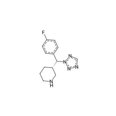 Fc1ccc(C([C@H]2CCCNC2)n2ncnn2)cc1